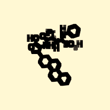 CC(C)[C@H](NC(Nc1ccccc1)S(=O)(=O)O)C(=O)Nc1c(C2CCc3c(ccc4c3ccc3ccccc34)C2)coc1O